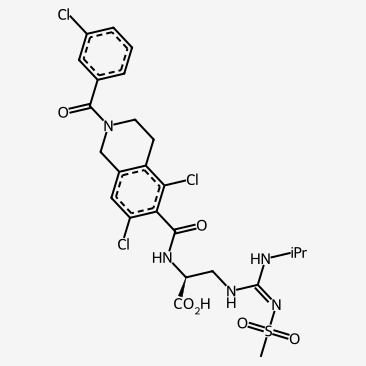 CC(C)N/C(=N/S(C)(=O)=O)NC[C@H](NC(=O)c1c(Cl)cc2c(c1Cl)CCN(C(=O)c1cccc(Cl)c1)C2)C(=O)O